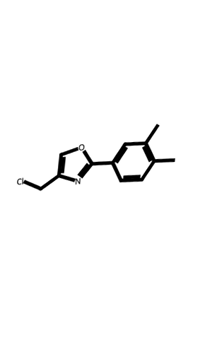 Cc1ccc(-c2nc(CCl)co2)cc1C